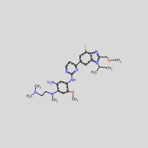 COCc1nc2c(F)cc(-c3ccnc(Nc4cc(N)c(N(C)CCN(C)C)cc4OC)n3)cc2n1C(C)C